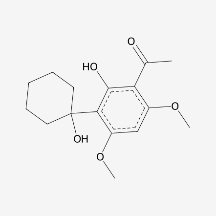 COc1cc(OC)c(C2(O)CCCCC2)c(O)c1C(C)=O